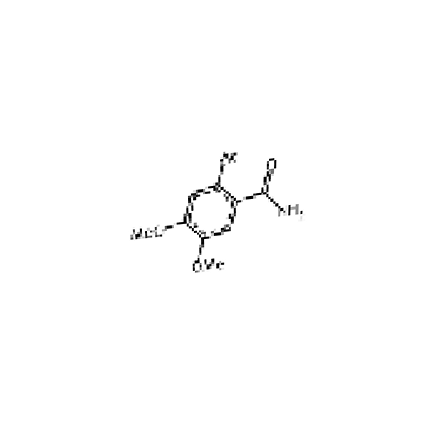 COc1cc(C(C)=O)c(C(N)=O)cc1OC